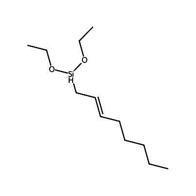 CCCCCC=CC[SiH](OCC)OCC